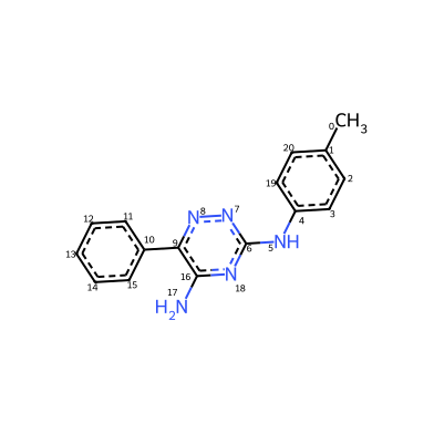 Cc1ccc(Nc2nnc(-c3ccccc3)c(N)n2)cc1